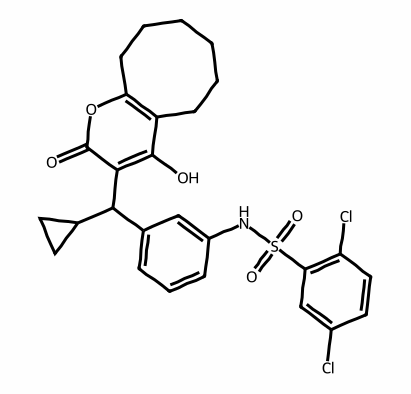 O=c1oc2c(c(O)c1C(c1cccc(NS(=O)(=O)c3cc(Cl)ccc3Cl)c1)C1CC1)CCCCCC2